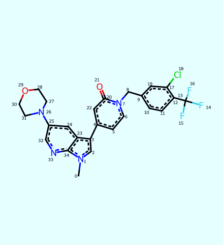 Cn1cc(-c2ccn(Cc3ccc(C(F)(F)F)c(Cl)c3)c(=O)c2)c2cc(N3CCOCC3)cnc21